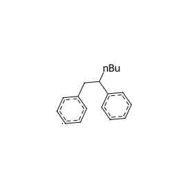 CCCCC(Cc1cc[c]cc1)c1ccccc1